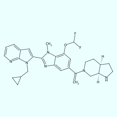 C=C(c1cc(OC(F)F)c2c(c1)nc(-c1cc3cccnc3n1CC1CC1)n2C)N1CC[C@H]2CCN[C@H]2C1